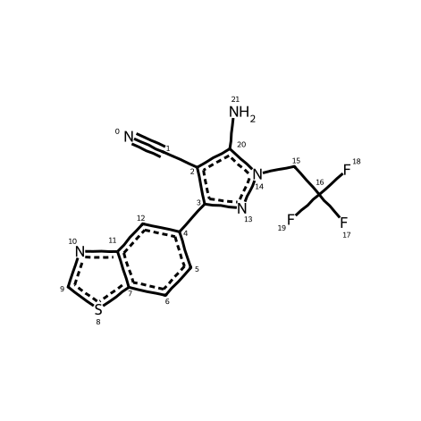 N#Cc1c(-c2ccc3scnc3c2)nn(CC(F)(F)F)c1N